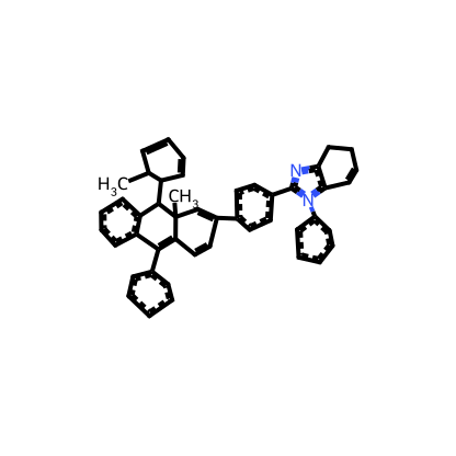 CC1C=CC=CC1C1c2ccccc2C(c2ccccc2)=C2C=CC(c3ccc(-c4nc5c(n4-c4ccccc4)C=CCC5)cc3)=CC21C